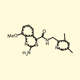 COc1cccc2c(C(=O)NCc3ncc(C)cc3C)nc(N)nc12